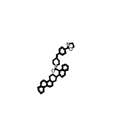 O=C(c1c(C2CCc3c(ccc4c3ccc3ccccc34)C2)ccc2ccccc12)N1CCC(=Cc2ccc(C3=NCCO3)cc2)CC1